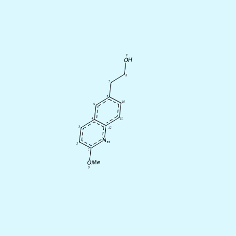 COc1ccc2cc(CCO)ccc2n1